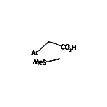 CC(=O)CC(=O)O.CSC